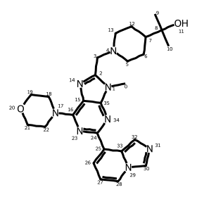 Cn1c(CN2CCC(C(C)(C)O)CC2)nc2c(N3CCOCC3)nc(-c3cccn4cncc34)nc21